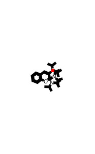 CC(C)N(C1=Cc2ccccc2OC1(N(C(C)C)C(C)C)N(C(C)C)C(C)C)C(C)C